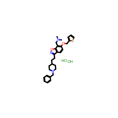 CN(C)Cc1c(OCc2cccs2)ccc2c(CCC3CCN(Cc4ccccc4)CC3)noc12.Cl.Cl